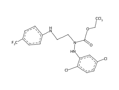 O=C(OCC(Cl)(Cl)Cl)N(CCNc1ccc(C(F)(F)F)cc1)Nc1cc(Cl)ccc1Cl